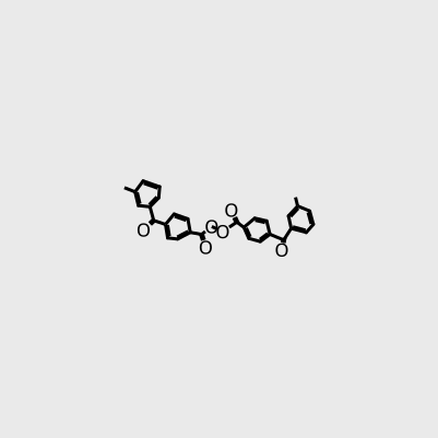 Cc1cccc(C(=O)c2ccc(C(=O)OOC(=O)c3ccc(C(=O)c4cccc(C)c4)cc3)cc2)c1